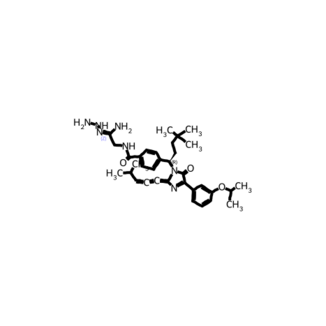 CC(C)C=C=C=C1N=C(c2cccc(OC(C)C)c2)C(=O)N1[C@H](CCC(C)(C)C)c1ccc(C(=O)NC/C(N)=N/NN)cc1